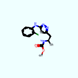 CCCC(Cc1nnc(Nc2ccccc2F)[se]1)NC(=O)OC(C)(C)C